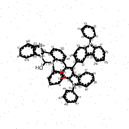 OC1N(c2ccccc2)c2c(-c3ccc4c(c3-c3ccc5c(c3)c3ccccc3n5-c3ccccc3)c3ccccc3n4-c3ccccc3)cccc2-c2nc3ccccc3n21